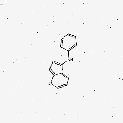 c1ccc(Nc2ccc3occcc2-3)cc1